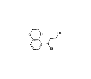 CCN(CCO)c1cccc2c1OCCO2